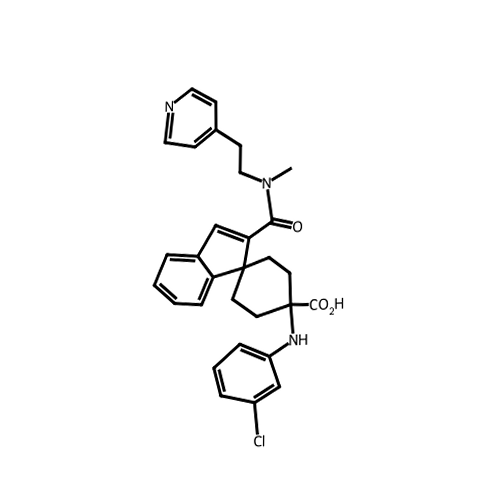 CN(CCc1ccncc1)C(=O)C1=Cc2ccccc2C12CCC(Nc1cccc(Cl)c1)(C(=O)O)CC2